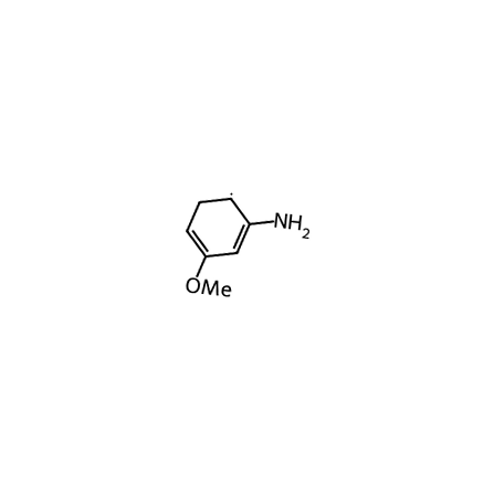 COC1=CC[CH]C(N)=C1